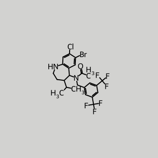 CC(=O)N(Cc1cc(C(F)(F)F)cc(C(F)(F)F)c1)C1c2cc(Br)c(Cl)cc2NCCC1C(C)C